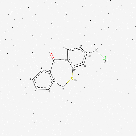 O=C1c2ccccc2CSc2cc(CCl)ccc21